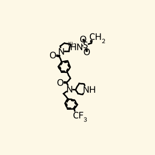 C=CS(=O)(=O)NC[C@H]1CCN(C(=O)c2ccc(CC(=O)N(Cc3ccc(C(F)(F)F)cc3)C3CCNCC3)cc2)C1